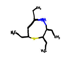 CCC1CC(CC)SC(CC)C(CC)N1